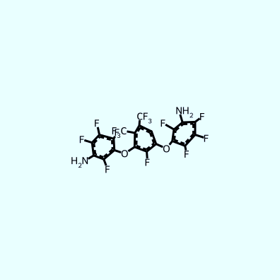 Nc1c(F)c(F)c(F)c(Oc2cc(C(F)(F)F)c(C(F)(F)F)c(Oc3c(F)c(N)c(F)c(F)c3F)c2F)c1F